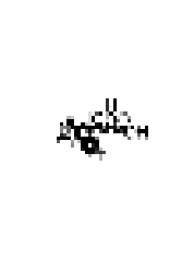 Cc1nc(C)c(/C=C/[C@@H](O)CC(O)CC(=O)O)c(-c2ccc(F)cc2)n1